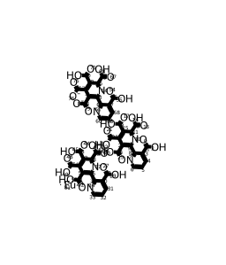 O=C(O)c1cccnc1-c1nc(C(=O)O)c(C(=O)O)c(C(=O)O)c1C(=O)O.O=C(O)c1cccnc1-c1nc(C(=O)O)c(C(=O)O)c(C(=O)O)c1C(=O)O.O=C(O)c1cccnc1-c1nc(C(=O)O)c(C(=O)O)c(C(=O)[O-])c1C(=O)[O-].[Eu+2]